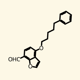 O=Cc1ccc(OCCCCCc2ccccc2)c2ccoc12